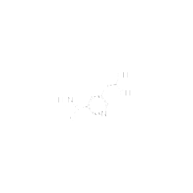 CC(C)Oc1cncc([S+](N)[O-])c1